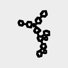 c1ccc(-c2ccc(N(c3ccc(-c4ccccc4)cc3)c3ccc(-c4ccc(-c5ccc6oc7ccccc7c6c5)c5oc6ccccc6c45)cc3)cc2)cc1